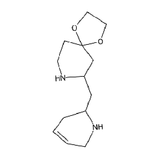 C1=CCC(CC2CC3(CCN2)OCCO3)NC1